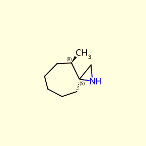 C[C@@H]1CCCCC[C@@]12CN2